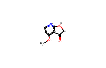 COc1ccnc2c1C(=O)CO2